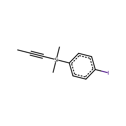 CC#C[Si](C)(C)c1ccc(I)cc1